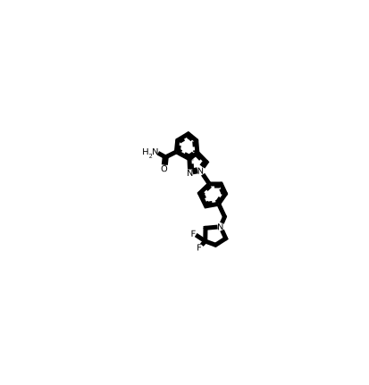 NC(=O)c1cccc2cn(-c3ccc(CN4CCC(F)(F)C4)cc3)nc12